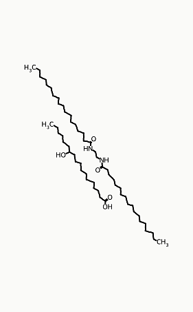 CCCCCCC(O)CCCCCCCCCCC(=O)O.CCCCCCCCCCCCCCCCCC(=O)NCCNC(=O)CCCCCCCCCCCCCCCCC